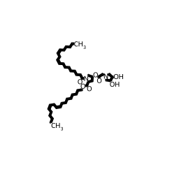 CCCCC/C=C\C/C=C\CCCCCCCCOC(=O)C1CC(OC(=O)CN2CC(O)C(O)C2)CN1C(=O)CCCCCCC/C=C\C/C=C\CCCCC